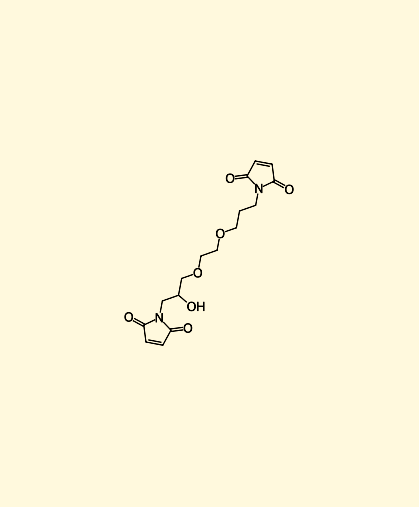 O=C1C=CC(=O)N1CCCOCCOCC(O)CN1C(=O)C=CC1=O